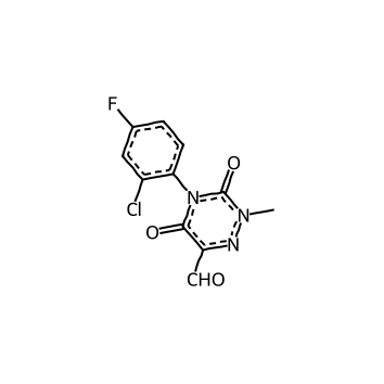 Cn1nc(C=O)c(=O)n(-c2ccc(F)cc2Cl)c1=O